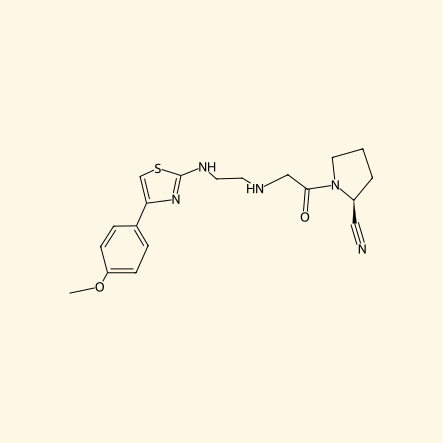 COc1ccc(-c2csc(NCCNCC(=O)N3CCC[C@H]3C#N)n2)cc1